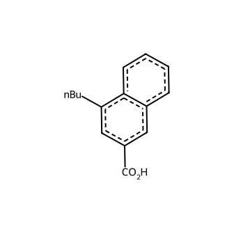 CCCCc1cc(C(=O)O)cc2ccccc12